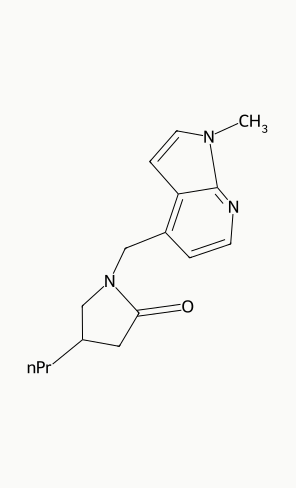 CCCC1CC(=O)N(Cc2ccnc3c2ccn3C)C1